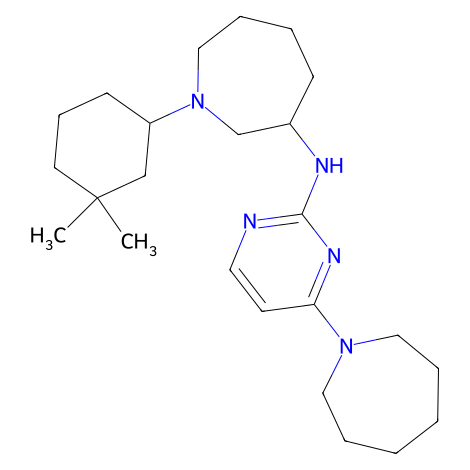 CC1(C)CCCC(N2CCCCC(Nc3nccc(N4CCCCCC4)n3)C2)C1